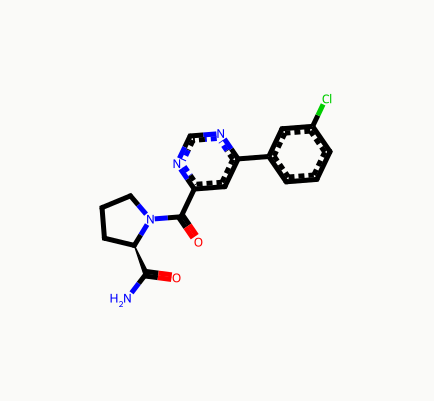 NC(=O)[C@H]1CCCN1C(=O)c1cc(-c2cccc(Cl)c2)ncn1